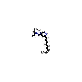 C=C/C(=C/SC)NCc1ccnc(CCCCCCCNC)c1